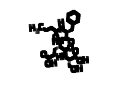 CCCC(=O)N[C@@H](Cc1ccccc1)C(=O)N[C@@H](CCC(=O)O)C(=O)N[C@@H](CO)C(=O)O